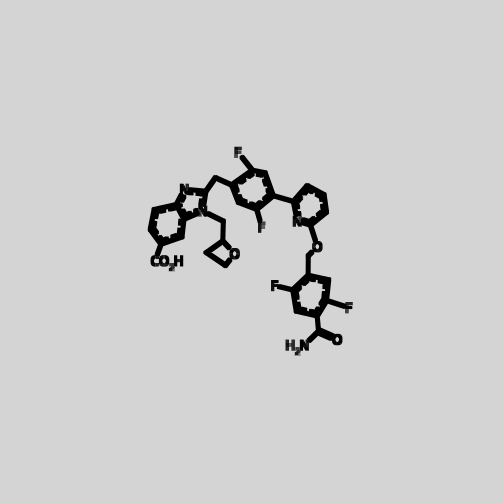 NC(=O)c1cc(F)c(COc2cccc(-c3cc(F)c(Cc4nc5ccc(C(=O)O)cc5n4CC4CCO4)cc3F)n2)cc1F